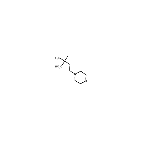 CC(N)(CCN1CCOCC1)C(=O)O